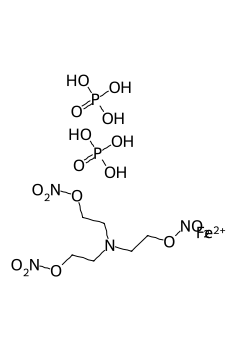 O=P(O)(O)O.O=P(O)(O)O.O=[N+]([O-])OCCN(CCO[N+](=O)[O-])CCO[N+](=O)[O-].[Fe+2]